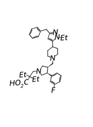 CCn1nc(Cc2ccccc2)cc1C1CCN(C[C@@H]2CN(CC(CC)(CC)C(=O)O)C[C@@H]2c2cccc(F)c2)CC1